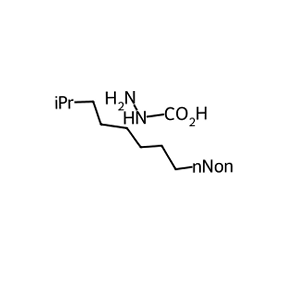 CCCCCCCCCCCCCCCC(C)C.NNC(=O)O